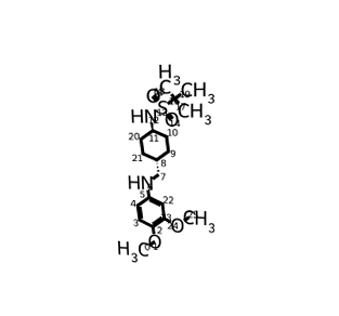 COc1ccc(NC[C@H]2CC[C@H](NS(=O)(=O)C(C)(C)C)CC2)cc1OC